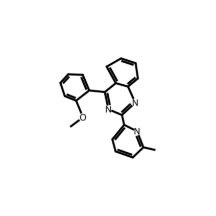 COc1ccccc1-c1nc(-c2cccc(C)n2)nc2ccccc12